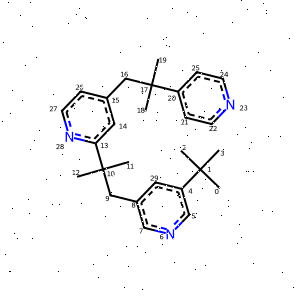 CC(C)(C)c1cncc(CC(C)(C)c2cc(CC(C)(C)c3ccncc3)ccn2)c1